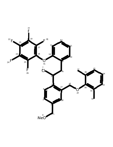 COCc1ccc(C(Cl)Cc2ccccc2Oc2c(F)c(F)c(F)c(F)c2F)c(COc2c(C)cccc2C)c1